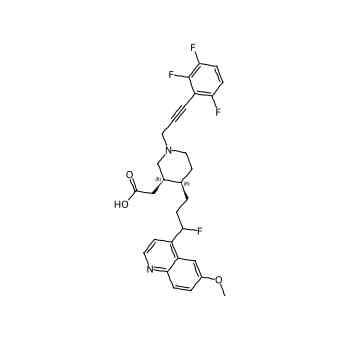 COc1ccc2nccc(C(F)CC[C@@H]3CCN(CC#Cc4c(F)ccc(F)c4F)C[C@@H]3CC(=O)O)c2c1